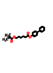 C=C(C)C(=O)OCCCCCC(=O)Oc1ccc(-c2ccccc2)cc1